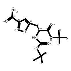 CC(C)(C)OC(=O)N[C@@H](Cc1cc(C(N)=O)no1)C(=O)OC(C)(C)C